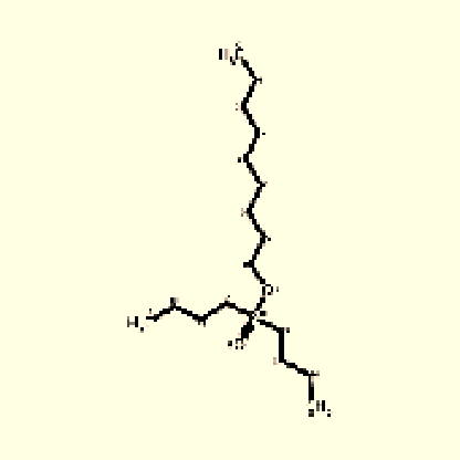 CCCCCCCCCOP(=O)(CCCC)CCCC